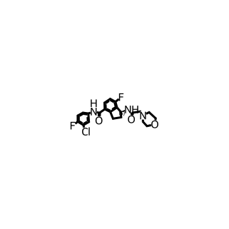 O=C(CN1CCOCC1)N[C@H]1CCc2c(C(=O)Nc3ccc(F)c(Cl)c3)ccc(F)c21